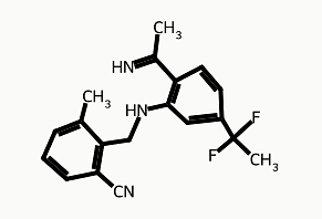 CC(=N)c1ccc(C(C)(F)F)cc1NCc1c(C)cccc1C#N